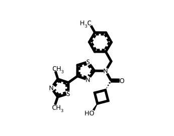 Cc1ccc(CN(c2nc(-c3sc(C)nc3C)cs2)C(=O)[C@H]2C[C@H](O)C2)cc1